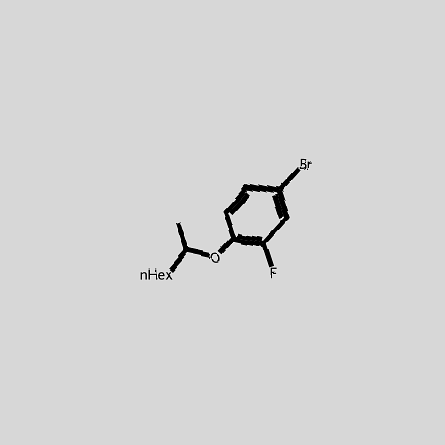 CCCCCCC(C)Oc1ccc(Br)cc1F